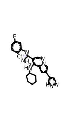 N/C(=N\c1cc(F)ccc1Cl)c1cnn2cc(-c3cn[nH]c3)cc2c1NC1CCCCC1